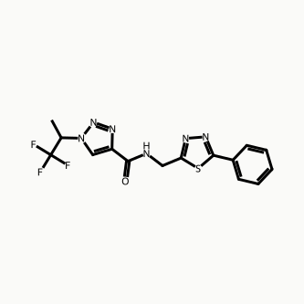 CC(n1cc(C(=O)NCc2nnc(-c3ccccc3)s2)nn1)C(F)(F)F